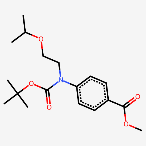 COC(=O)c1ccc(N(CCOC(C)C)C(=O)OC(C)(C)C)cc1